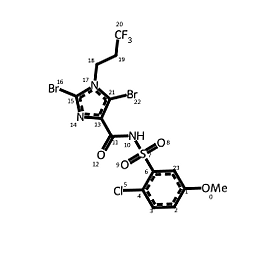 COc1ccc(Cl)c(S(=O)(=O)NC(=O)c2nc(Br)n(CCC(F)(F)F)c2Br)c1